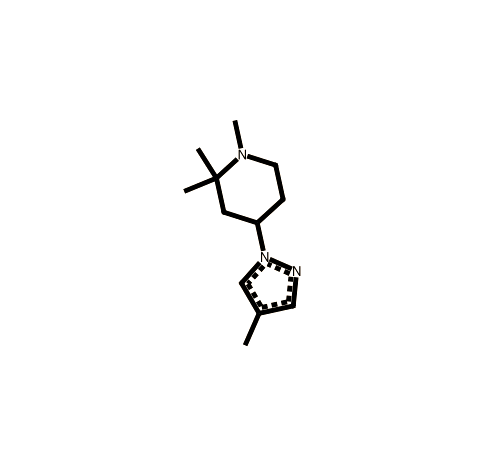 Cc1cnn(C2CCN(C)C(C)(C)C2)c1